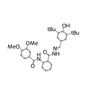 COc1ccc(C(=O)Nc2ccccc2C(=O)N/N=C/c2cc(C(C)(C)C)c(O)c(C(C)(C)C)c2)cc1OC